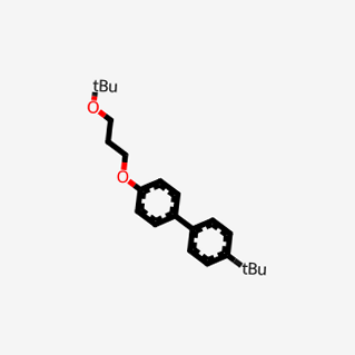 CC(C)(C)OCCCOc1ccc(-c2ccc(C(C)(C)C)cc2)cc1